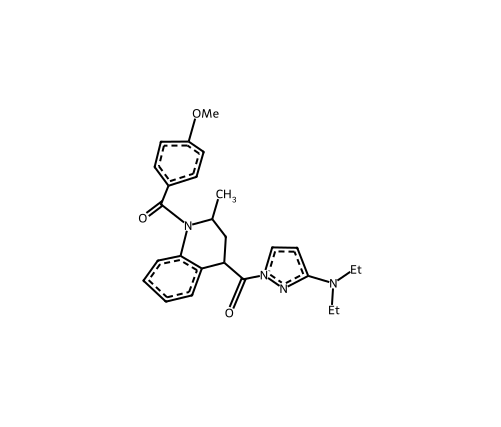 CCN(CC)c1ccn(C(=O)C2CC(C)N(C(=O)c3ccc(OC)cc3)c3ccccc32)n1